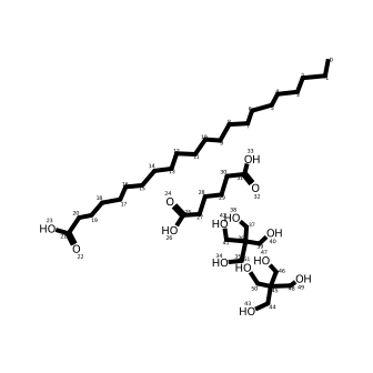 CCCCCCCCCCCCCCCCCCCCCC(=O)O.O=C(O)CCCCC(=O)O.OCC(CO)(CO)CO.OCC(CO)(CO)CO